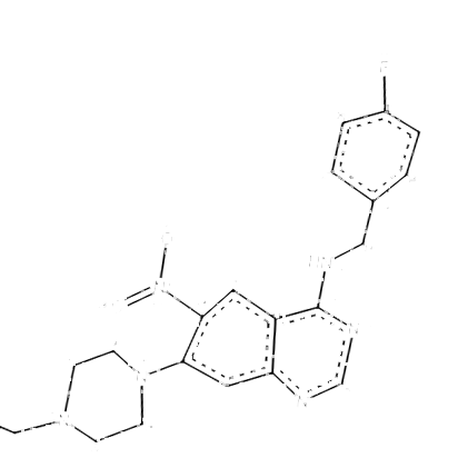 CCN1CCN(c2cc3ncnc(NCc4ccc(F)cc4)c3cc2[N+](=O)[O-])CC1